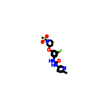 Cc1ccc(NC(=O)Nc2cc(F)cc(OC3CCCN(S(C)(=O)=O)C3)c2)cn1